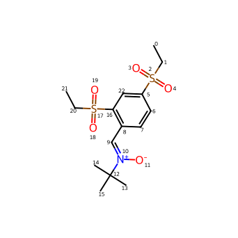 CCS(=O)(=O)c1ccc(/C=[N+](\[O-])C(C)(C)C)c(S(=O)(=O)CC)c1